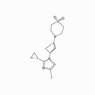 O=S1(=O)CCN(C23CC(n4cc(I)nc4C4CC4)(C2)C3)CC1